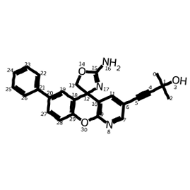 CC(C)(O)C#Cc1cnc2c(c1)C1(COC(N)=N1)c1cc(-c3ccccc3)ccc1O2